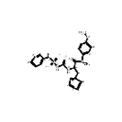 COc1ccc(N(C)C(=O)C(Cc2ccccc2)NC(=O)NS(=O)(=O)Nc2cccnc2)cc1